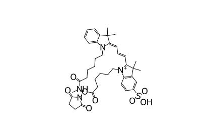 CNC(=O)CCCCCN1C(=CC=CC2=[N+](CCCCCC(=O)ON3C(=O)CCC3=O)c3ccc(S(=O)(=O)O)cc3C2(C)C)C(C)(C)c2ccccc21